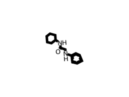 O=C(CNc1ccccc1)NC1CCCCC1